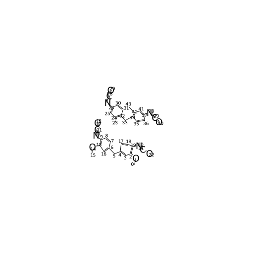 COc1cc(Cc2ccc(N=C=O)c(OC)c2)ccc1N=C=O.Cc1cc(N=C=O)ccc1Cc1ccc(N=C=O)cc1C